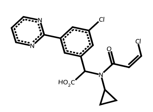 O=C(O)C(c1cc(Cl)cc(-c2ncccn2)c1)N(C(=O)/C=C\Cl)C1CC1